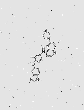 Cc1cc(Nc2ncnc3cnc(N4CCS(C)(C)CC4)nc23)ccc1Oc1ccc2c(c1)ncn2C